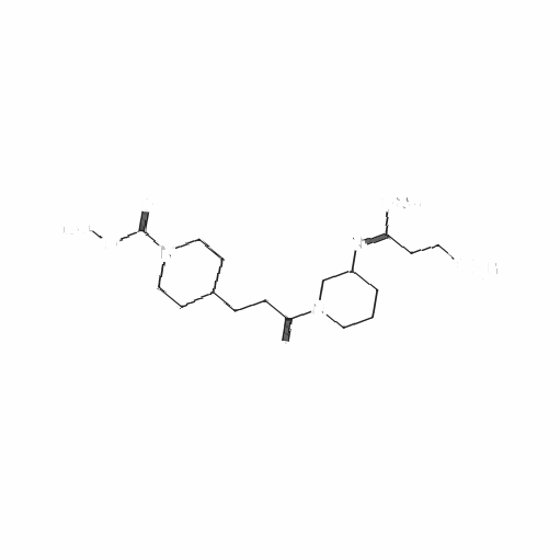 COC(CCC(=O)O)=NC1CCCN(C(=O)CCC2CCN(C(=O)OC(C)(C)C)CC2)C1